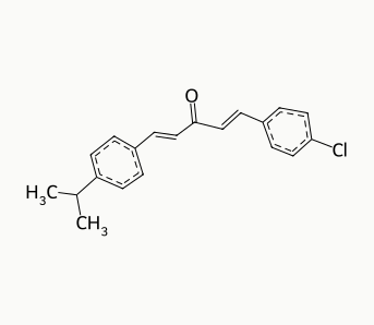 CC(C)c1ccc(/C=C/C(=O)/C=C/c2ccc(Cl)cc2)cc1